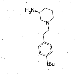 CC(C)(C)c1ccc(CCN2CCC[C@H](N)C2)cc1